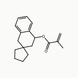 C=C(C)C(=O)OC1CC2(CCCC2)Cc2ccccc21